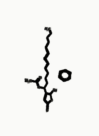 CCCCCCCCCCCCC(OC(C)=O)C1=CC(=O)OC1O.c1ccccc1